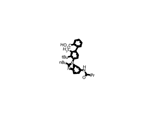 CCCCc1nc2ccc(NC(=O)C(C)C)cc2n1-c1ccc(-c2ccccc2C(=O)O)c(C)c1C(C)(C)C